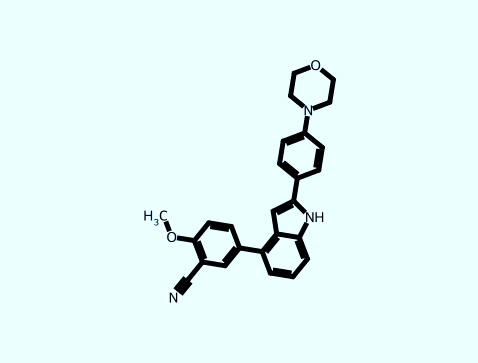 COc1ccc(-c2cccc3[nH]c(-c4ccc(N5CCOCC5)cc4)cc23)cc1C#N